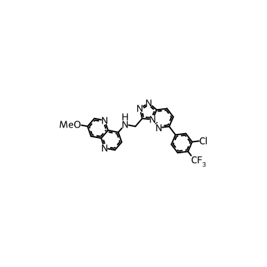 COc1cnc2c(NCc3nnc4ccc(-c5ccc(C(F)(F)F)c(Cl)c5)nn34)ccnc2c1